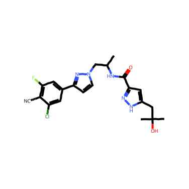 CC(Cn1ccc(-c2cc(F)c(C#N)c(Cl)c2)n1)NC(=O)c1cc(CC(C)(C)O)[nH]n1